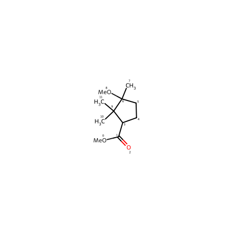 COC(=O)C1CCC(C)(OC)C1(C)C